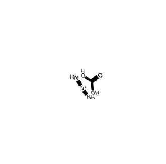 N=[N+]=N.O=C(O)O